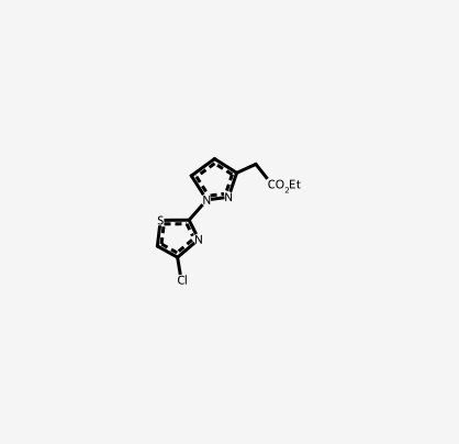 CCOC(=O)Cc1ccn(-c2nc(Cl)cs2)n1